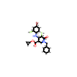 O=C(OC1CC1)c1cn(Cc2ccccc2)c(=O)c(F)c1Nc1ccc(Br)cc1F